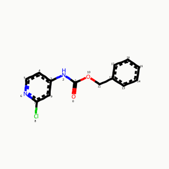 O=C(Nc1ccnc(Cl)c1)OCc1ccccc1